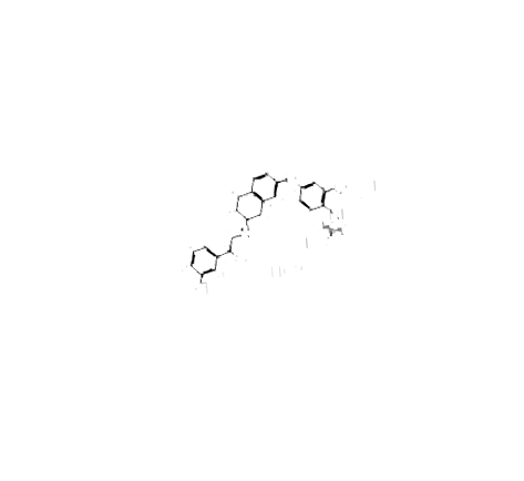 CS(=O)(=O)Nc1ccc(Oc2ccc3c(c2)C[C@@H](NC[C@@H](O)c2cccc(Cl)c2)CC3)cc1C(=O)O.Cl